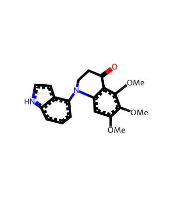 COc1cc2c(c(OC)c1OC)C(=O)CCN2c1cccc2[nH]ccc12